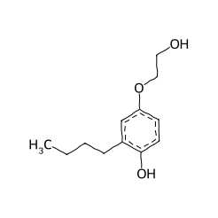 CCCCc1cc(OCCO)ccc1O